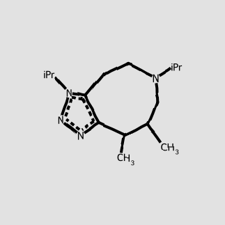 CC1CN(C(C)C)CCc2c(nnn2C(C)C)C1C